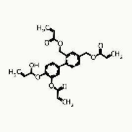 C=CC(=O)OCc1ccc(-c2ccc(OC(O)C=C)c(OC(=O)C=C)c2)c(COC(=O)C=C)c1